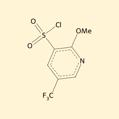 COc1ncc(C(F)(F)F)cc1S(=O)(=O)Cl